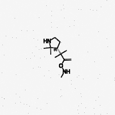 C=C(ONC)C(C)(C)[C@H]1CCNC1(C)C